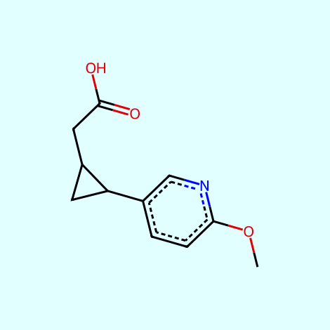 COc1ccc(C2CC2CC(=O)O)cn1